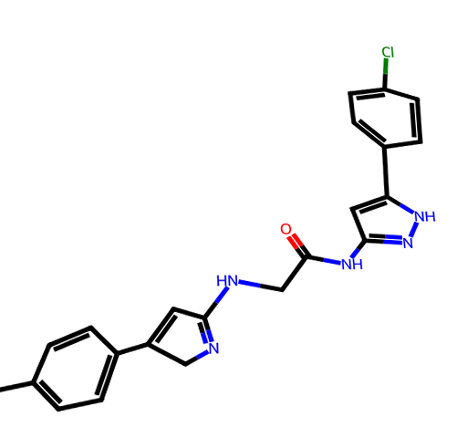 Cc1ccc(C2=CC(NCC(=O)Nc3cc(-c4ccc(Cl)cc4)[nH]n3)=NC2)cc1